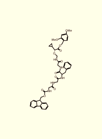 COc1ccc(COC(=O)[C@H](OCNC(=O)CNC(=O)C(Cc2ccccc2)NC(=O)CNC(=O)CNC(=O)OCC2c3ccccc3-c3ccccc32)C2CC2)c(OC)c1